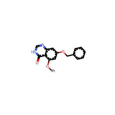 CC(C)Oc1cc(OCc2ccccc2)cc2nc[nH]c(=O)c12